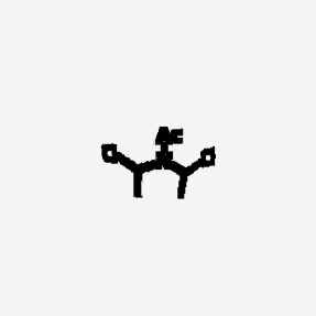 CC(=O)N(C(C)Cl)C(C)Cl